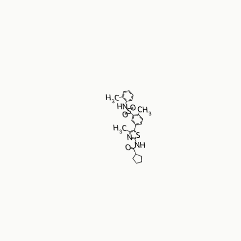 Cc1ccccc1NS(=O)(=O)c1cc(-c2sc(NC(=O)C3CCCC3)nc2C)ccc1C